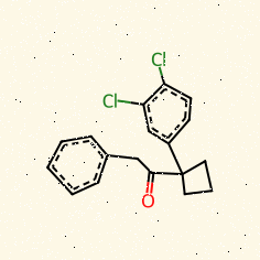 O=C(Cc1ccccc1)C1(c2ccc(Cl)c(Cl)c2)CCC1